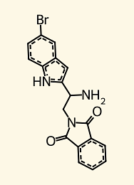 NC(CN1C(=O)c2ccccc2C1=O)c1cc2cc(Br)ccc2[nH]1